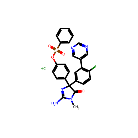 CN1C(=O)C(c2ccc(OS(=O)(=O)c3ccccc3)cc2)(c2ccc(F)c(-c3cncnc3)c2)N=C1N.Cl